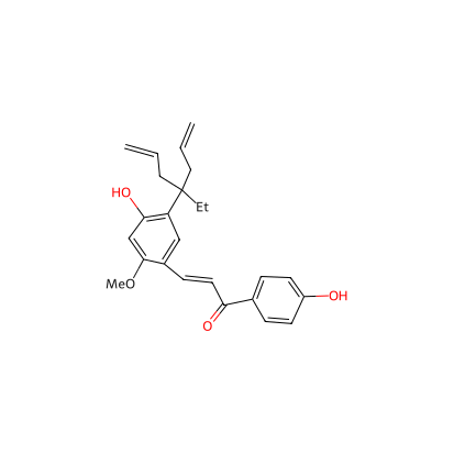 C=CCC(CC)(CC=C)c1cc(/C=C/C(=O)c2ccc(O)cc2)c(OC)cc1O